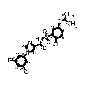 CC(C)Oc1ccc(Cl)c(S(=O)(=O)NC(=O)c2cn(-c3cc(F)cc(Cl)c3)cn2)c1